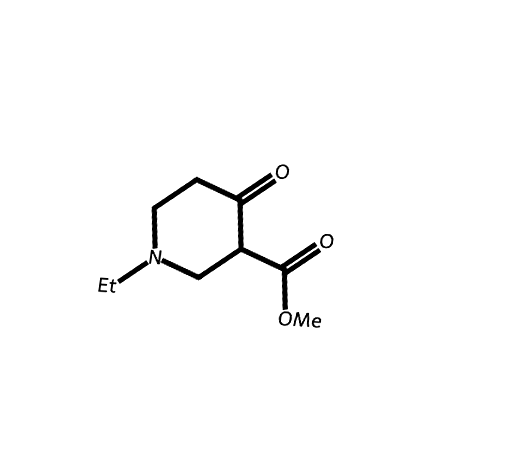 [CH2]CN1CCC(=O)C(C(=O)OC)C1